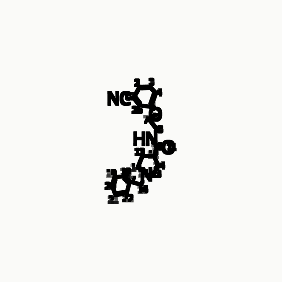 N#Cc1cccc(OCCNC(=O)C2CCN(Cc3ccccc3)CC2)c1